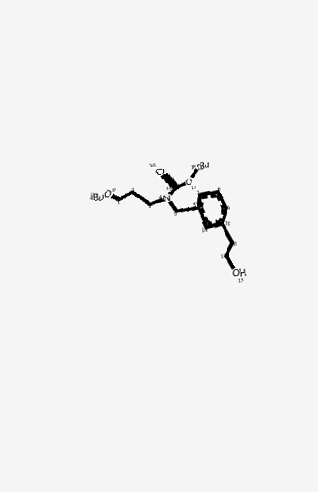 CC(C)COCCCN(Cc1cccc(CCO)c1)C(=O)OC(C)(C)C